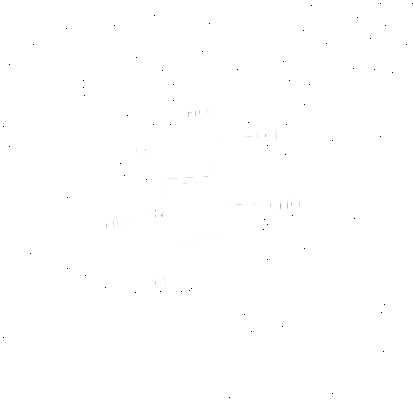 O=Cc1cc(Cl)n(O)c(=O)c1C(O)O